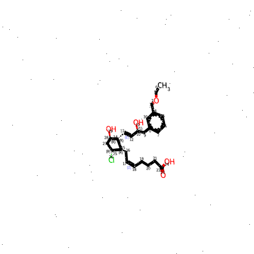 CCOCc1cccc(C[C@H](O)/C=C/[C@@H]2[C@@H](C/C=C\CCCC(=O)O)[C@H](Cl)C[C@H]2O)c1